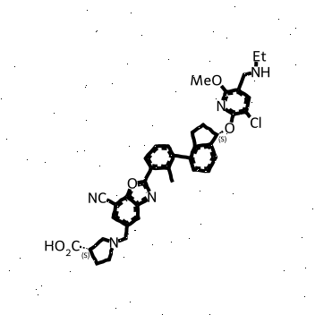 CCNCc1cc(Cl)c(O[C@H]2CCc3c(-c4cccc(-c5nc6cc(CN7CC[C@H](C(=O)O)C7)cc(C#N)c6o5)c4C)cccc32)nc1OC